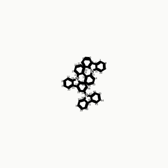 c1ccc2c(c#1)c1ccccc1n2-c1ccccc1-c1ccccc1-n1c2ccccc2c2cc(-n3c4ccccc4c4ccccc43)ccc21